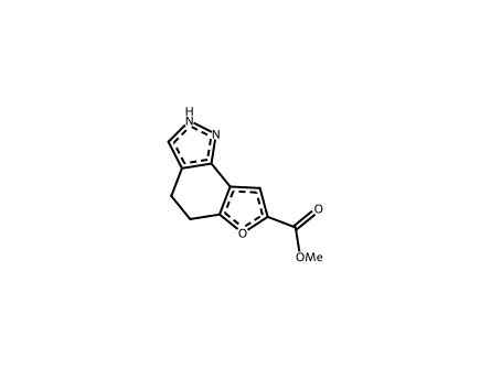 COC(=O)c1cc2c(o1)CCc1c[nH]nc1-2